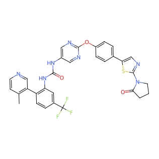 Cc1ccncc1-c1ccc(C(F)(F)F)cc1NC(=O)Nc1cnc(Oc2ccc(-c3cnc(N4CCCC4=O)s3)cc2)nc1